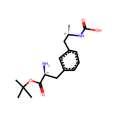 C[C@@H](Cc1cccc(C[C@H](N)C(=O)OC(C)(C)C)c1)NC(=O)O